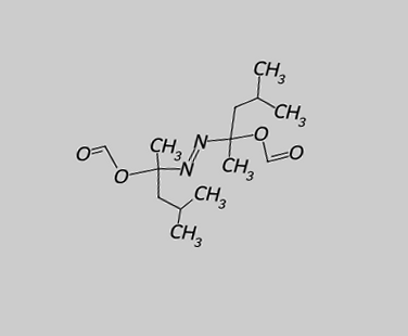 CC(C)CC(C)(N=NC(C)(CC(C)C)OC=O)OC=O